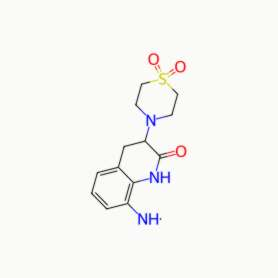 [NH]c1cccc2c1NC(=O)C(N1CCS(=O)(=O)CC1)C2